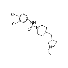 CC(C)N1CCC(CN2CCN(C(=O)Nc3ccc(Cl)c(Cl)c3)CC2)C1